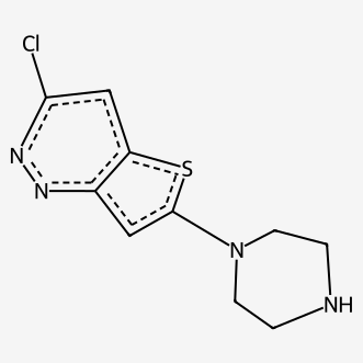 Clc1cc2sc(N3CCNCC3)cc2nn1